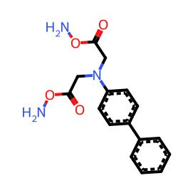 NOC(=O)CN(CC(=O)ON)c1ccc(-c2ccccc2)cc1